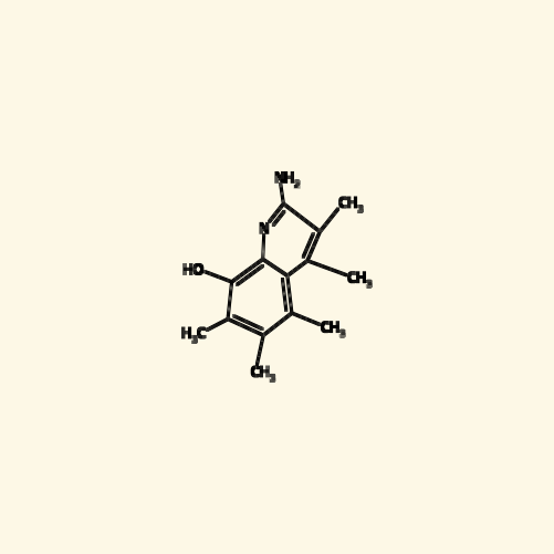 Cc1c(C)c(C)c2c(C)c(C)c(N)nc2c1O